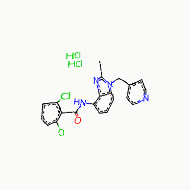 Cc1nc2c(NC(=O)c3c(Cl)cccc3Cl)cccc2n1Cc1ccncc1.Cl.Cl